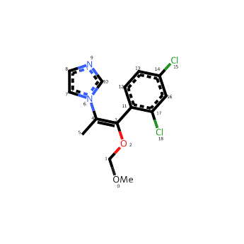 COCOC(=C(C)n1ccnc1)c1ccc(Cl)cc1Cl